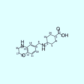 O=C(O)C1CCC(NCc2ccc3c(c2)NCCO3)CC1